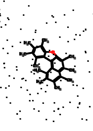 Cc1c(C)c(C)c2c(oc3c(C)c(C)c4c(C)c(C)c(C)c(C)c4c32)c1C